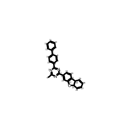 Cc1nc(-c2ccc(-c3ccccc3)cc2)nc(-c2ccc3c(c2)OC2C=CC=CC32)n1